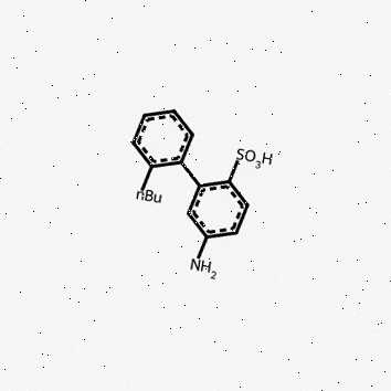 CCCCc1ccccc1-c1cc(N)ccc1S(=O)(=O)O